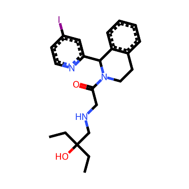 CCC(O)(CC)CNCC(=O)N1CCc2ccccc2C1c1cc(I)ccn1